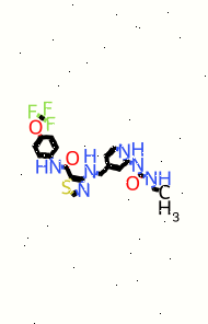 CCNC(=O)Nc1cc(CNc2ncsc2C(=O)Nc2ccc(OC(F)(F)F)cc2)ccn1